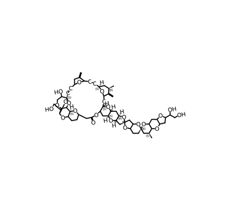 C=C1CC2CC[C@]34OC(CO)C5OC6CCC(CC(=O)OC7C[C@@H]8O[C@@H]9C[C@]%10(CC%11O[C@@]%12(CCC%11O%10)C[C@H](C)C%10OC%11CC(C(O)CO)OC%11CC%10O%12)O[C@@H]9C[C@@H]8O[C@H]7CC7O[C@@H](CCC1O2)C[C@@H](C)C7=C)O[C@@H]6C(O3)C5OCC4O